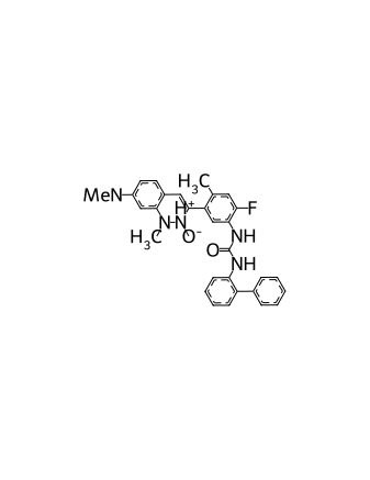 CNc1ccc2c(c1)N(C)[NH+]([O-])C(c1cc(NC(=O)Nc3ccccc3-c3ccccc3)c(F)cc1C)=C2